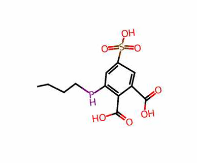 CCCCPc1cc(S(=O)(=O)O)cc(C(=O)O)c1C(=O)O